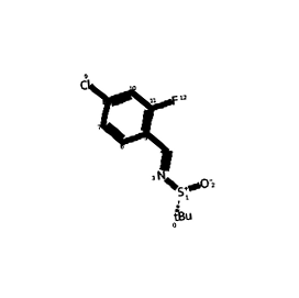 CC(C)(C)[S@@+]([O-])N=Cc1ccc(Cl)cc1F